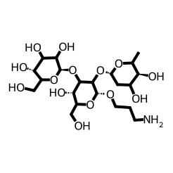 CC1O[C@@H](OC2C(O[C@H]3OC(CO)[C@H](O)C(O)C3O)[C@@H](O)C(CO)O[C@H]2OCCCN)CC(O)[C@@H]1O